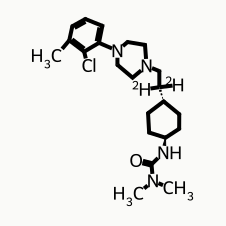 [2H]C([2H])(CN1CCN(c2cccc(C)c2Cl)CC1)[C@H]1CC[C@H](NC(=O)N(C)C)CC1